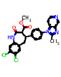 COC(=O)C1C(=O)Nc2cc(Cl)c(Cl)cc2CC1c1ccc(-n2c(C)nc3cnccc32)cc1